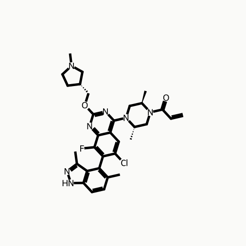 C=CC(=O)N1C[C@H](C)N(c2nc(OC[C@@H]3CCN(C)C3)nc3c(F)c(-c4c(C)ccc5[nH]nc(C)c45)c(Cl)cc23)C[C@H]1C